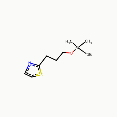 CC(C)(C)[Si](C)(C)OCCCc1nccs1